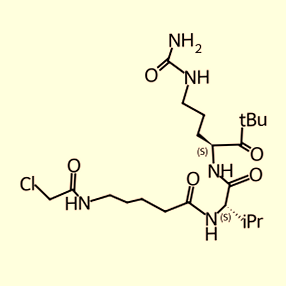 CC(C)[C@H](NC(=O)CCCCNC(=O)CCl)C(=O)N[C@@H](CCCNC(N)=O)C(=O)C(C)(C)C